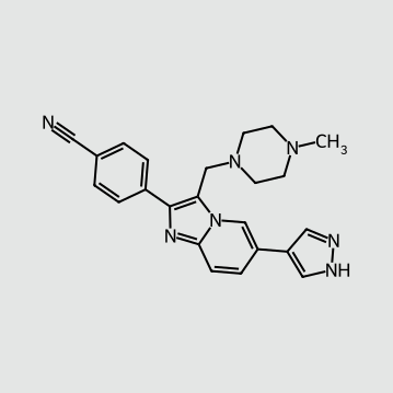 CN1CCN(Cc2c(-c3ccc(C#N)cc3)nc3ccc(-c4cn[nH]c4)cn23)CC1